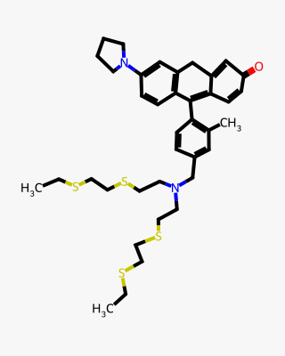 CCSCCSCCN(CCSCCSCC)Cc1ccc(C2=C3C=CC(=O)C=C3Cc3cc(N4CCCC4)ccc32)c(C)c1